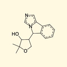 CC1(C)OCC(C2c3ccccc3-c3cncn32)C1O